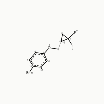 FC1(F)C[C@H]1COc1ccc(Br)nc1